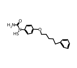 NC(=O)N(S)c1ccc(OCCCCCc2ccccc2)cc1